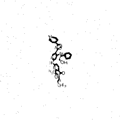 CCCN1C(=O)c2ccc(Nc3cc(N[C@H](CO)c4ccccc4)c(-c4nc(-c5ccncc5)no4)cn3)nc2C1(C)C